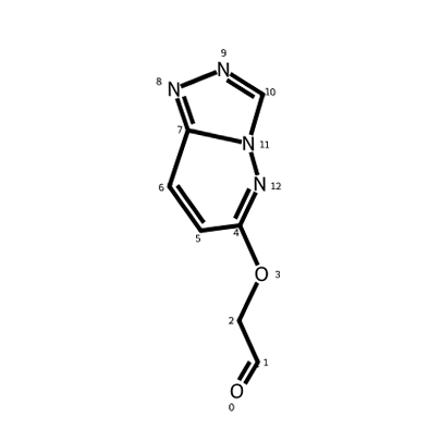 O=[C]COc1ccc2nncn2n1